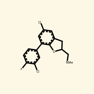 CNCC1Cc2cc(Cl)cc(-c3ccc(F)c(Cl)c3)c2O1